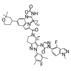 Cc1cc(-n2nc3c(c2-n2cnn(-c4ccc5c(cnn5C)c4F)c2=O)[C@H](C)N(C(=O)c2cc4cc(C5CCOC(C)(C)C5)ccc4n2[C@@]2(c4noc(=O)[nH]4)C[C@@H]2C)CC3)cc(C)c1F